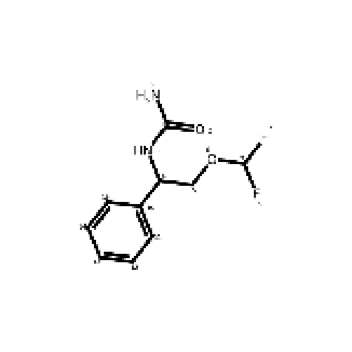 NC(=O)NC(COC(F)F)c1ccccc1